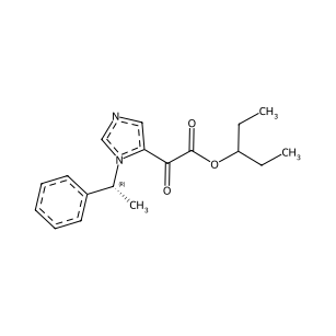 CCC(CC)OC(=O)C(=O)c1cncn1[C@H](C)c1ccccc1